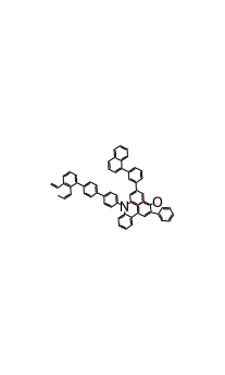 C=Cc1cccc(-c2ccc(-c3ccc(N(c4cccc(-c5cccc(-c6cccc7ccccc67)c5)c4)c4ccccc4-c4ccc5oc6ccccc6c5c4)cc3)cc2)c1/C=C\C